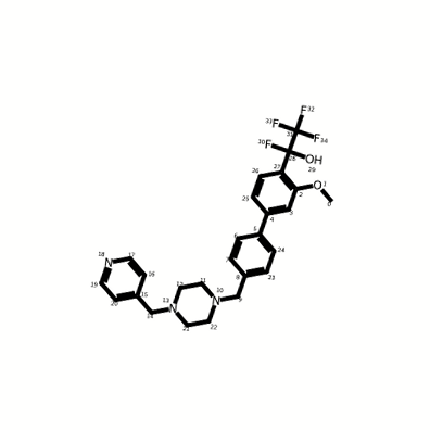 COc1cc(-c2ccc(CN3CCN(Cc4ccncc4)CC3)cc2)ccc1C(O)(F)C(F)(F)F